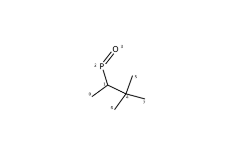 CC(P=O)C(C)(C)C